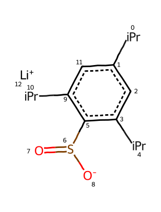 CC(C)c1cc(C(C)C)c(S(=O)[O-])c(C(C)C)c1.[Li+]